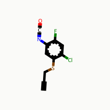 C#CCSc1cc(N=C=O)c(F)cc1Cl